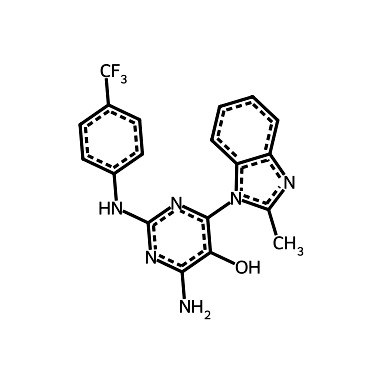 Cc1nc2ccccc2n1-c1nc(Nc2ccc(C(F)(F)F)cc2)nc(N)c1O